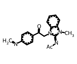 C=Nc1ccc(C(=O)Cn2/c(=N\C(C)=O)n(C)c3ccccc32)cc1